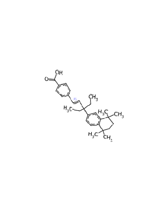 CCC(/C=C/c1ccc(C(=O)O)cc1)(CC)c1ccc2c(c1)C(C)(C)CCC2(C)C